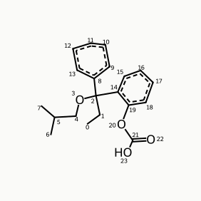 CCC(OCC(C)C)(c1ccccc1)c1ccccc1OC(=O)O